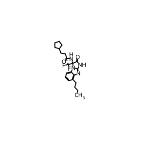 CCCCc1cccc2c1nc1n2C(NC(=O)CCC2CCCC2)(C(F)(F)F)C(=O)N1